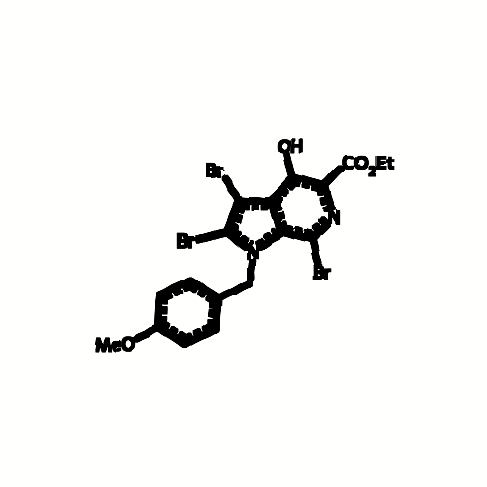 CCOC(=O)c1nc(Br)c2c(c1O)c(Br)c(Br)n2Cc1ccc(OC)cc1